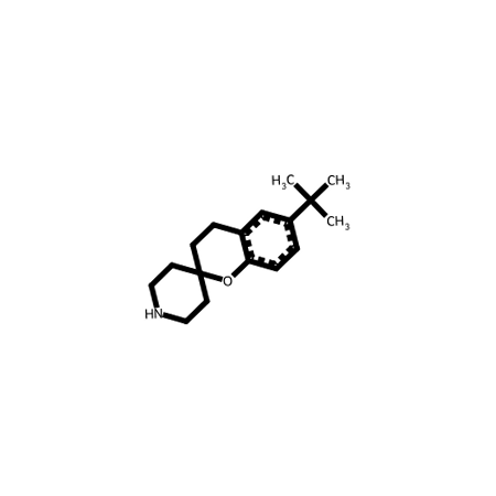 CC(C)(C)c1ccc2c(c1)CCC1(CCNCC1)O2